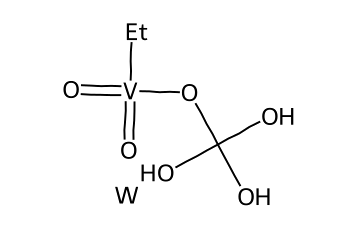 C[CH2][V](=[O])(=[O])[O]C(O)(O)O.[W]